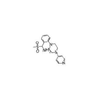 CS(=O)(=O)C(N)c1ccccc1N1CCN(c2ccncc2)CC1